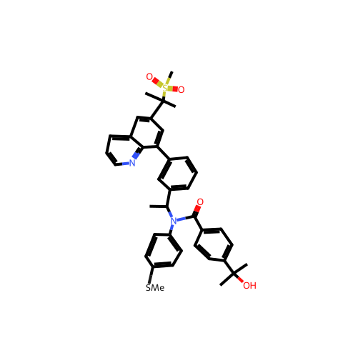 CSc1ccc(N(C(=O)c2ccc(C(C)(C)O)cc2)C(C)c2cccc(-c3cc(C(C)(C)S(C)(=O)=O)cc4cccnc34)c2)cc1